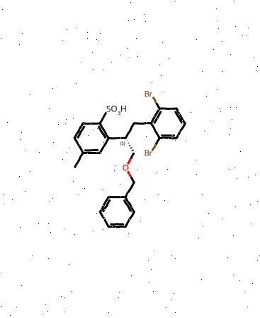 Cc1ccc(S(=O)(=O)O)c([C@@H](COCc2ccccc2)Cc2c(Br)cccc2Br)c1